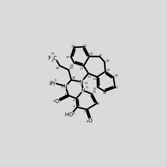 CC(C)N1C(=O)c2c(O)c(=O)ccn2N(C2c3ccccc3CCc3ccccc32)C1CCC(F)(F)F